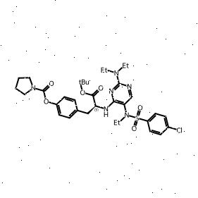 CCN(CC)c1ncc(N(CC)S(=O)(=O)c2ccc(Cl)cc2)c(N[C@@H](Cc2ccc(OC(=O)N3CCCC3)cc2)C(=O)OC(C)(C)C)n1